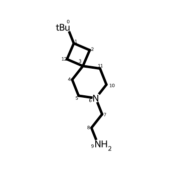 CC(C)(C)C1CC2(CCN(CCN)CC2)C1